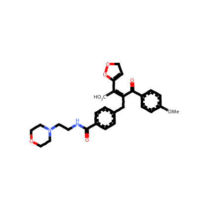 COc1ccc(C(=O)C(Cc2ccc(C(=O)NCCN3CCOCC3)cc2)=C(C(=O)O)C2=CCOO2)cc1